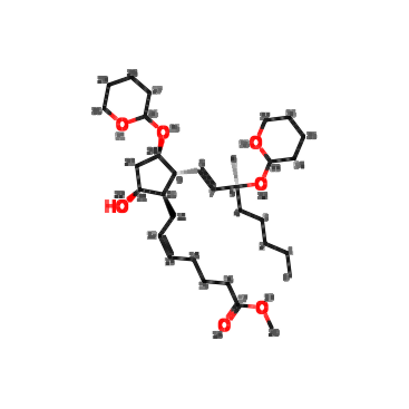 CCCCC[C@@](C)(/C=C/[C@@H]1[C@@H](C/C=C\CCCC(=O)OC)[C@@H](O)C[C@H]1OC1CCCCO1)OC1CCCCO1